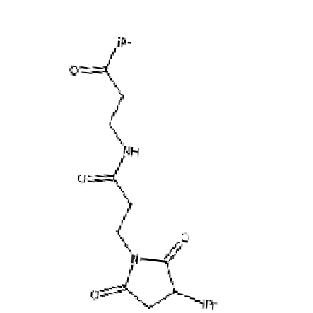 CC(C)C(=O)CCNC(=O)CCN1C(=O)CC(C(C)C)C1=O